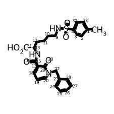 Cc1ccc(S(=O)(=O)NCCCC[C@H](NC(=O)c2cccn(Cc3ccccc3)c2=O)C(=O)O)cc1